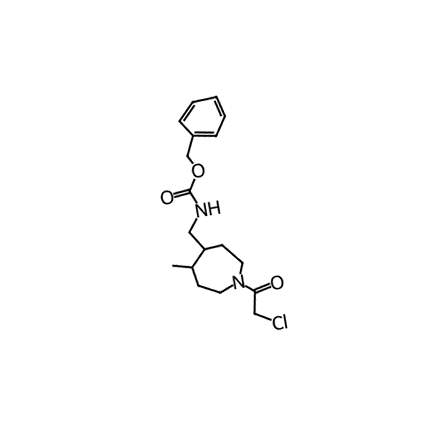 CC1CCN(C(=O)CCl)CCC1CNC(=O)OCc1ccccc1